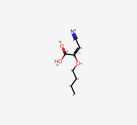 CCCCO/C(=C/C#N)C(=O)O